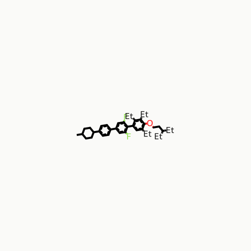 CCc1cc(-c2c(F)cc(-c3ccc(C4CCC(C)CC4)cc3)cc2F)c(CC)c(CC)c1OCCC(CC)CC